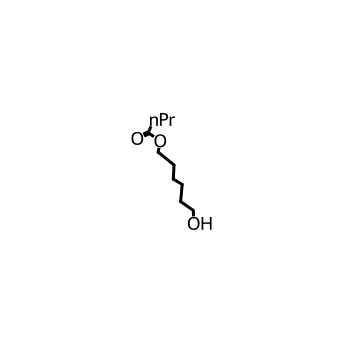 CCCC(=O)OCCCCCCO